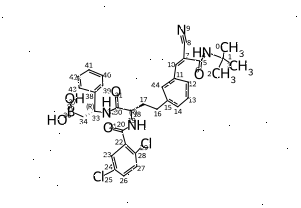 CC(C)(C)NC(=O)C(C#N)=Cc1cccc(CC[C@@H](NC(=O)c2cc(Cl)ccc2Cl)C(=O)N[C@H](CB(O)O)c2ccccc2)c1